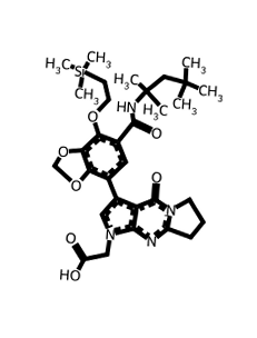 CC(C)(C)CC(C)(C)NC(=O)c1cc(-c2cn(CC(=O)O)c3nc4n(c(=O)c23)CCC4)c2c(c1OCC[Si](C)(C)C)OCO2